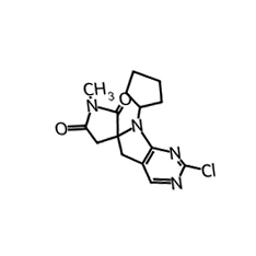 CN1C(=O)CC2(Cc3cnc(Cl)nc3N2C2CCCC2)C1=O